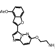 COc1cccc2oc(-c3cnc4ccc(OCCN)nn34)cc12